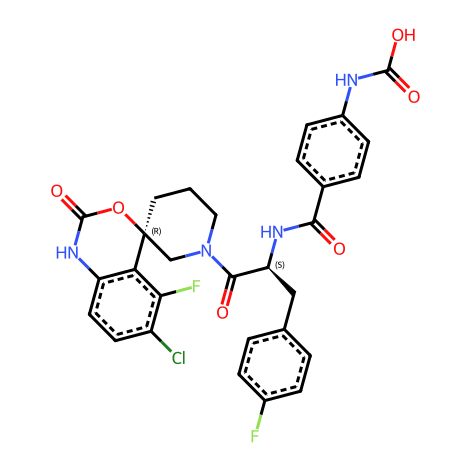 O=C(O)Nc1ccc(C(=O)N[C@@H](Cc2ccc(F)cc2)C(=O)N2CCC[C@@]3(C2)OC(=O)Nc2ccc(Cl)c(F)c23)cc1